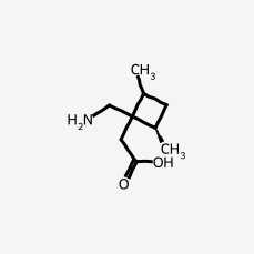 CC1C[C@@H](C)C1(CN)CC(=O)O